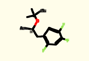 CC(=O)[C@H](Cc1cc(F)c(F)cc1F)O[Si](C)(C)C(C)(C)C